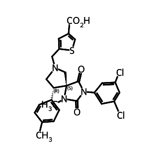 Cc1ccc([C@@H]2CN(Cc3cc(C(=O)O)cs3)C[C@]23C(=O)N(c2cc(Cl)cc(Cl)c2)C(=O)N3C)cc1